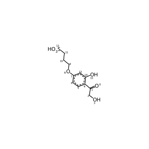 O=C(CO)c1ccc(OCCCS(=O)(=O)O)cc1O